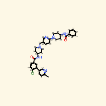 Cc1ccc(-c2cc(C(=O)NC3CCN(Cc4ccc(N5CCC(NC(=O)c6ccccc6)CC5)nc4)CC3)ccc2Cl)cn1